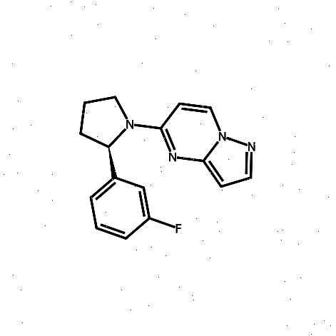 Fc1cccc([C@H]2CCCN2c2ccn3nccc3n2)c1